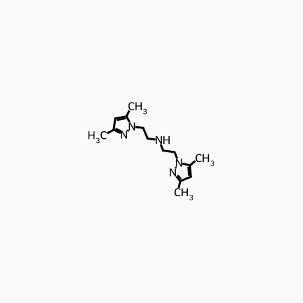 Cc1cc(C)n(CCNCCn2nc(C)cc2C)n1